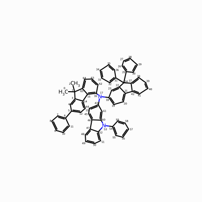 CC1(C)c2cc(-c3ccccc3)ccc2-c2c(N(c3ccc4c(c3)C(c3ccccc3)(c3ccccc3)c3ccccc3-4)c3ccc4c5ccccc5n(-c5ccccc5)c4c3)cccc21